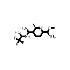 COC(N)C1CCC(C(N)NC(O)C(F)(F)F)[C@@H](C)N1